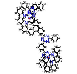 c1ccc(-c2nc(-c3ccc(-c4ccc(-c5nc(-c6ccccc6)nc(-n6c7ccccc7c7ccc8c9ccccc9n(-c9cccc(-c%10nc(-c%11ccccc%11)nc(-c%11ccccc%11)n%10)c9)c8c76)n5)cc4-c4ccccc4)cc3)nc(-c3cccc(-c4nc(-c5ccccc5)nc(-n5c6ccccc6c6ccc7c8ccccc8n(-c8ccccc8-c8ccccc8)c7c65)n4)c3)n2)cc1